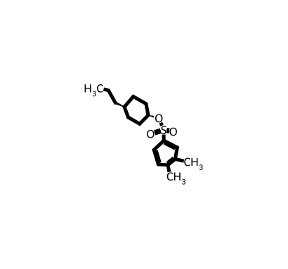 CCC[C@H]1CC[C@H](OS(=O)(=O)c2ccc(C)c(C)c2)CC1